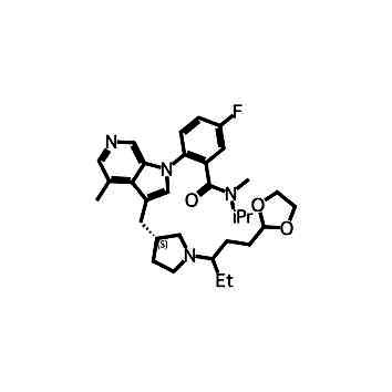 CCC(CCC1OCCO1)N1CC[C@H](Cc2cn(-c3ccc(F)cc3C(=O)N(C)C(C)C)c3cncc(C)c23)C1